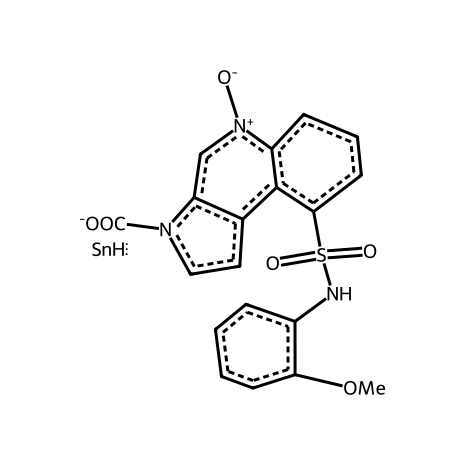 COc1ccccc1NS(=O)(=O)c1cccc2c1c1ccn(C(=O)[O-])c1c[n+]2[O-].[SnH]